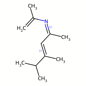 C=C(C)/N=C(C)\C=C(/C)C(C)C